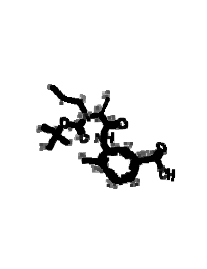 CCCN(C(=O)OC(C)(C)C)[C@@H](C)C(=O)Nc1cc(C(=O)O)ccc1C